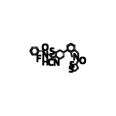 N#Cc1c(NC(=O)c2ccccc2F)sc2c1CCC(c1cccc3c1CN(C(=O)C1CCSS1)C3)C2